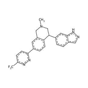 CN1Cc2cc(-c3ccc(C(F)(F)F)nn3)ccc2C(c2ccc3cn[nH]c3c2)C1